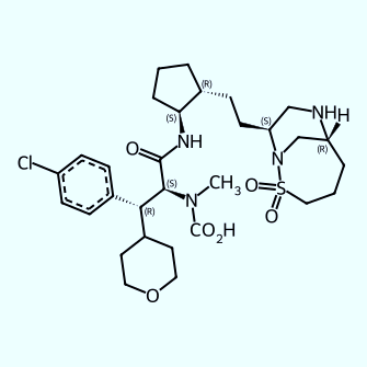 CN(C(=O)O)[C@H](C(=O)N[C@H]1CCC[C@@H]1CC[C@H]1CN[C@@H]2CCCS(=O)(=O)N1C2)[C@@H](c1ccc(Cl)cc1)C1CCOCC1